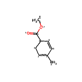 BC1=CCC(C(=O)OC)C=C1